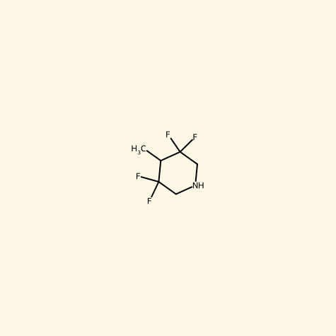 CC1C(F)(F)CNCC1(F)F